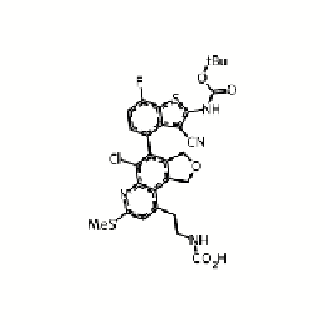 CSc1cc(CCNC(=O)O)c2c3c(c(-c4ccc(F)c5sc(NC(=O)OC(C)(C)C)c(C#N)c45)c(Cl)c2n1)COC3